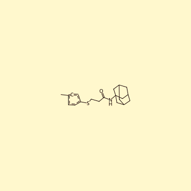 Cc1ccc(SCCC(=O)NC23CC4CC(CC(C4)C2)C3)cc1